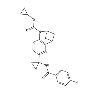 O=C(NC1(c2ccc3c(n2)C2CC(C2)N3C(=O)OC2CC2)CC1)c1ccc(F)cc1